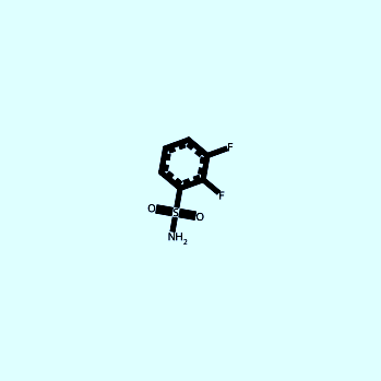 NS(=O)(=O)c1cc[c]c(F)c1F